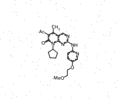 COCCOc1ccc(Nc2ncc3c(C)c(C(C)=O)c(=O)n(C4CCCC4)c3n2)nc1